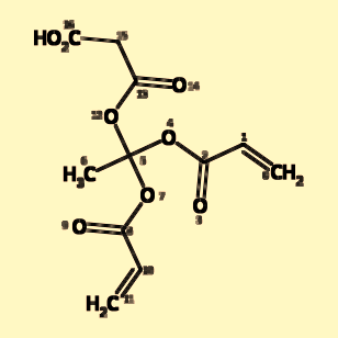 C=CC(=O)OC(C)(OC(=O)C=C)OC(=O)CC(=O)O